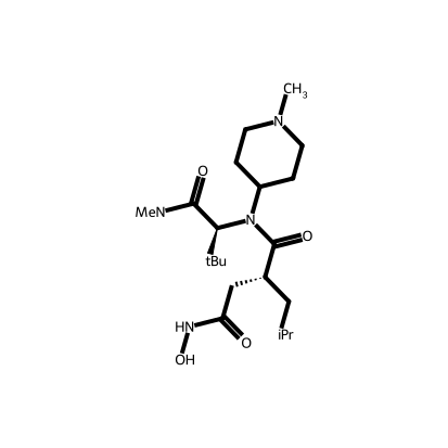 CNC(=O)[C@@H](N(C(=O)[C@@H](CC(=O)NO)CC(C)C)C1CCN(C)CC1)C(C)(C)C